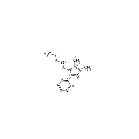 CCCOCn1c(-c2cccnc2)nc(C)c1C